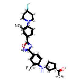 CC(=O)OC(=O)[C@H]1CC[C@@H](Nc2ccc(-c3noc(-c4ccc(N5CCC(F)CC5)c(C#N)c4)n3)cc2C(F)(F)F)C1